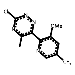 COc1cc(C(F)(F)F)cnc1-c1nnc(Cl)nc1C